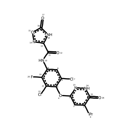 CC(C)c1cc(Oc2c(Cl)cc(NC(=O)c3noc(=O)[nH]3)c(F)c2Cl)n[nH]c1=O